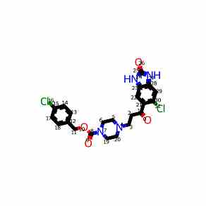 O=C(CCN1CCN(C(=O)OCc2ccc(Cl)cc2)CC1)c1cc2[nH]c(=O)[nH]c2cc1Cl